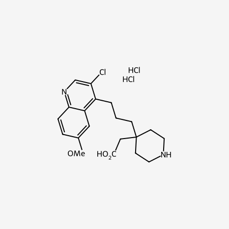 COc1ccc2ncc(Cl)c(CCCC3(CC(=O)O)CCNCC3)c2c1.Cl.Cl